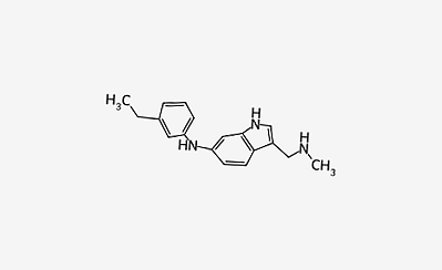 CCc1cccc(Nc2ccc3c(CNC)c[nH]c3c2)c1